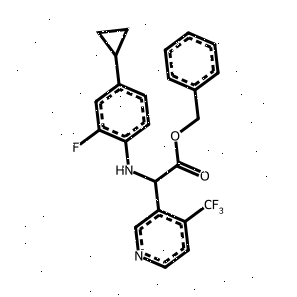 O=C(OCc1ccccc1)C(Nc1ccc(C2CC2)cc1F)c1cnccc1C(F)(F)F